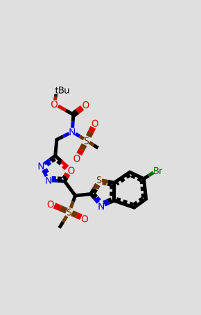 CC(C)(C)OC(=O)N(Cc1nnc(C(c2nc3ccc(Br)cc3s2)S(C)(=O)=O)o1)S(C)(=O)=O